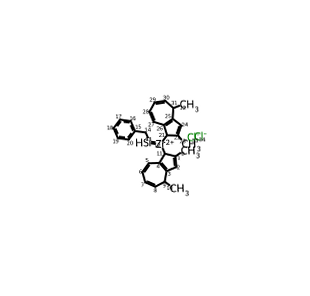 CC1=CC2=C(C=CC=CC2C)[CH]1[Zr+2](=[SiH]Cc1ccccc1)[CH]1C(C)=CC2=C1C=CC=CC2C.[Cl-].[Cl-]